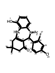 CC(=O)N1c2cccc(O)c2NC2=C(C(=O)CC(C)(C)C2)C1c1ccc(Cl)cc1F